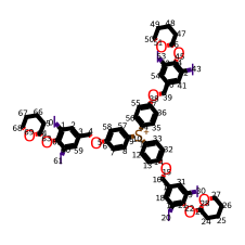 Ic1cc(COc2ccc([S+](c3ccc(OCc4cc(I)c(OC5CCCCO5)c(I)c4)cc3)c3ccc(OCc4cc(I)c(OC5CCCCO5)c(I)c4)cc3)cc2)cc(I)c1OC1CCCCO1